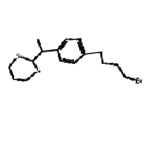 CC(c1ccc(CCCCBr)cc1)C1SCCCS1